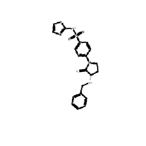 O=C1[C@@H](NCc2ccccc2)CCN1c1ccc(S(=O)(=O)Nc2nccs2)cc1